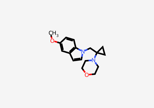 COc1ccc2c(ccn2CC2(N3CCOCC3)CC2)c1